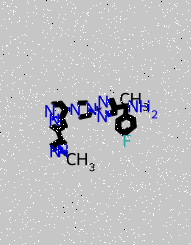 Cn1cc(-c2cc3c(N4CCN(c5ncc(C(C)(N)c6ccc(F)cc6)cn5)CC4)ccnn3c2)cn1